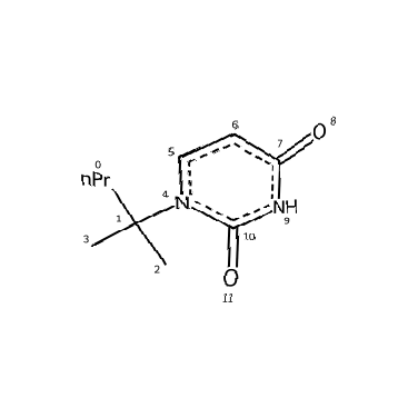 CCCC(C)(C)n1ccc(=O)[nH]c1=O